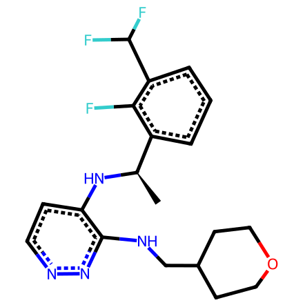 C[C@@H](Nc1ccnnc1NCC1CCOCC1)c1cccc(C(F)F)c1F